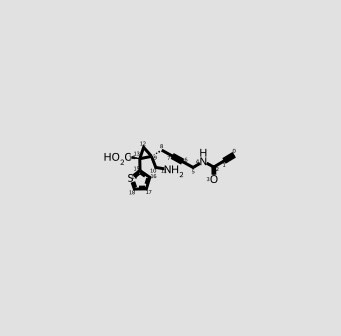 C#CC(=O)NCC#CC[C@@]1(CN)C[C@@]1(C(=O)O)c1cccs1